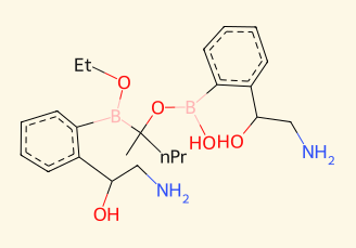 CCCC(C)(OB(O)c1ccccc1C(O)CN)B(OCC)c1ccccc1C(O)CN